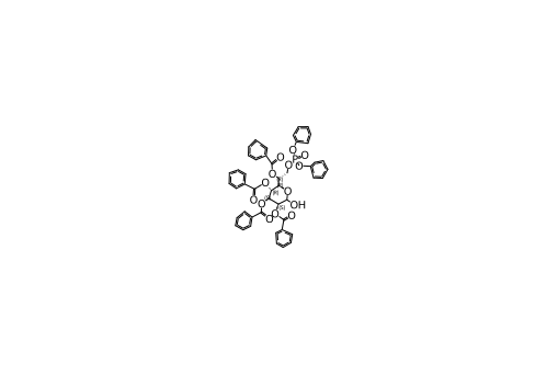 O=C(O[C@H]1[C@H](OC(=O)c2ccccc2)[C@H](OC(=O)c2ccccc2)C(O)O[C@@H]1[C@@H](COP(=O)(Oc1ccccc1)Oc1ccccc1)OC(=O)c1ccccc1)c1ccccc1